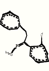 ON=C(Cc1ccccc1)c1ccccc1Cl